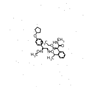 CCON=C(C(=O)NC)c1ccccc1C(C)ON=CC(=NOC)c1ccc(OC2CCCC2)cc1